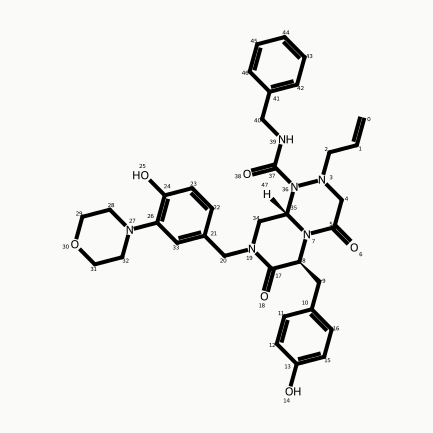 C=CCN1CC(=O)N2[C@@H](Cc3ccc(O)cc3)C(=O)N(Cc3ccc(O)c(N4CCOCC4)c3)C[C@@H]2N1C(=O)NCc1ccccc1